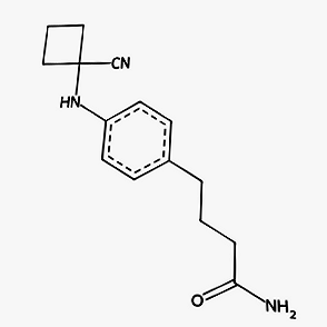 N#CC1(Nc2ccc(CCCC(N)=O)cc2)CCC1